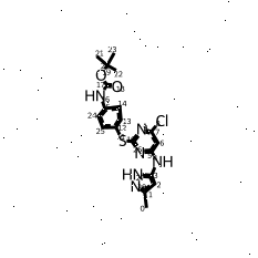 Cc1cc(Nc2cc(Cl)nc(Sc3ccc(NC(=O)OC(C)(C)C)cc3)n2)[nH]n1